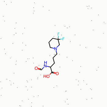 O=CNC(CCCN1CCCC(F)(F)C1)C(=O)O